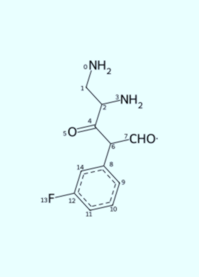 NCC(N)C(=O)C([C]=O)c1cccc(F)c1